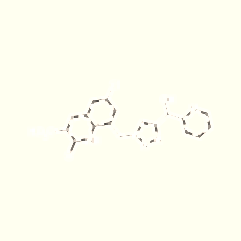 O=C(O)c1cc2cc(Cl)cc(Cn3cc(C(O)c4ccccn4)nn3)c2[nH]c1=O